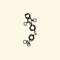 O=C1C2C3C=CC(C3)C2C(=O)N1c1ccc(Sc2ccc([N+](=O)[O-])cc2)cc1